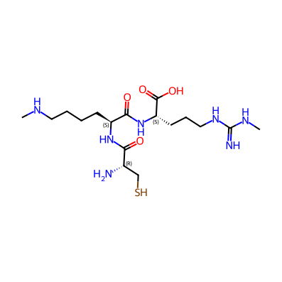 CNCCCC[C@H](NC(=O)[C@@H](N)CS)C(=O)N[C@@H](CCCNC(=N)NC)C(=O)O